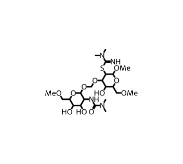 COCC1OC(OCOC2C(O)C(COC)OC(OC)C2SC(=N)N(C)C)C(NC(=O)N(C)C)C(O)C1O